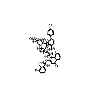 [2H]C([2H])(CN1C([2H])([2H])C([2H])([2H])C([2H])(N(C(=O)C([2H])([2H])n2c(SC([2H])([2H])c3cccc(F)c3F)cc(=O)c3ccccc32)C([2H])(C)c2ccc(-c3ccc(C(F)(F)F)cc3)cc2)C([2H])([2H])C1([2H])[2H])OC